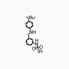 CCCCc1ccc(NCc2cccc(NS(=O)(=O)C(C)C)c2)cc1